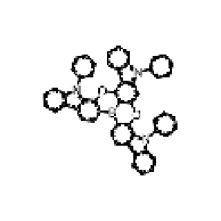 c1ccc(-n2c3ccccc3c3c4c5c(cc32)Oc2c(ccc3c6ccccc6n(-c6ccccc6)c23)B5c2ccc3c5ccccc5n(-c5ccccc5)c3c2O4)cc1